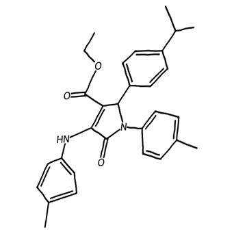 CCOC(=O)C1=C(Nc2ccc(C)cc2)C(=O)N(c2ccc(C)cc2)C1c1ccc(C(C)C)cc1